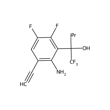 C#Cc1cc(F)c(F)c(C(O)(C(C)C)C(F)(F)F)c1N